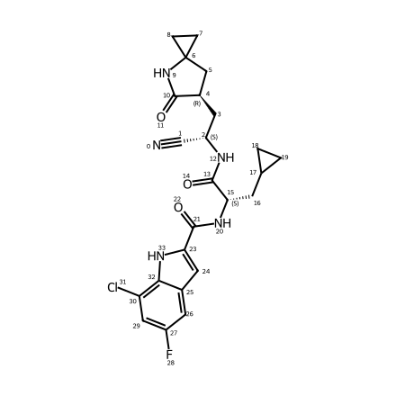 N#C[C@H](C[C@@H]1CC2(CC2)NC1=O)NC(=O)[C@H](CC1CC1)NC(=O)c1cc2cc(F)cc(Cl)c2[nH]1